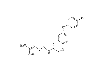 COC(=NSSNC(=O)C(C)Oc1ccc(Oc2ccc(C(F)(F)F)cc2)cc1)OC